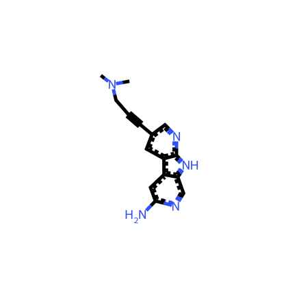 CN(C)CC#Cc1cnc2[nH]c3cnc(N)cc3c2c1